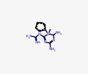 C[N+]1(c2ccccc2)C(NC(=N)N)=NC(N)=NC1N